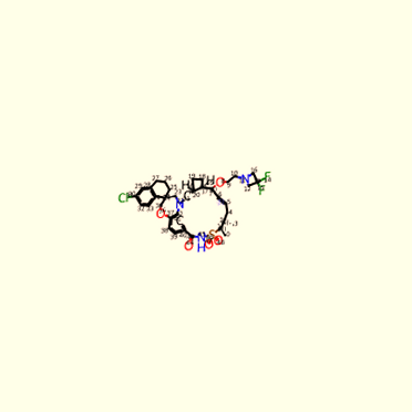 C[C@@H]1[C@@H](C)C/C=C/[C@H](OCCN2CC(F)(F)C2)[C@@H]2CC[C@H]2CN2C[C@@]3(CCCc4cc(Cl)ccc43)COc3ccc(cc32)C(=O)NS1(=O)=O